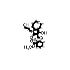 CCCCn1c2c(c(O)c(C(=O)NC3(C(=O)OC)CCCCC3)c1=O)CCCCCC2